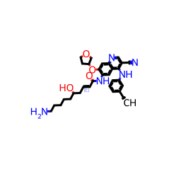 C#Cc1cccc(Nc2c(C#N)cnc3cc(OC4CCOC4)c(NC(=O)/C=C/CC(O)CCCCCN)cc23)c1